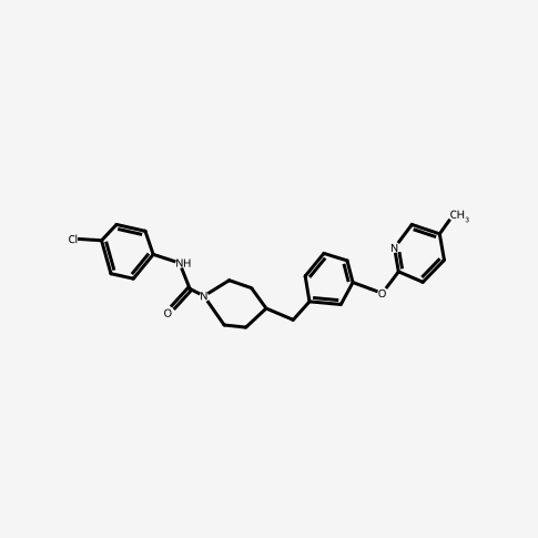 Cc1ccc(Oc2cccc(CC3CCN(C(=O)Nc4ccc(Cl)cc4)CC3)c2)nc1